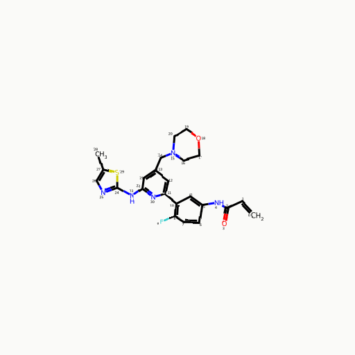 C=CC(=O)Nc1ccc(F)c(-c2cc(CN3CCOCC3)cc(Nc3ncc(C)s3)n2)c1